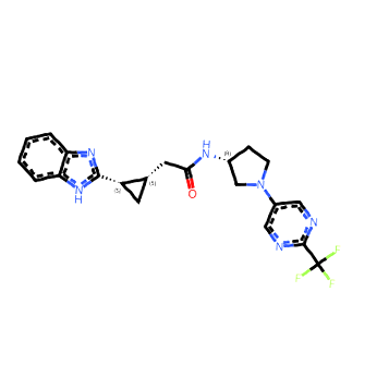 O=C(C[C@@H]1C[C@@H]1c1nc2ccccc2[nH]1)N[C@@H]1CCN(c2cnc(C(F)(F)F)nc2)C1